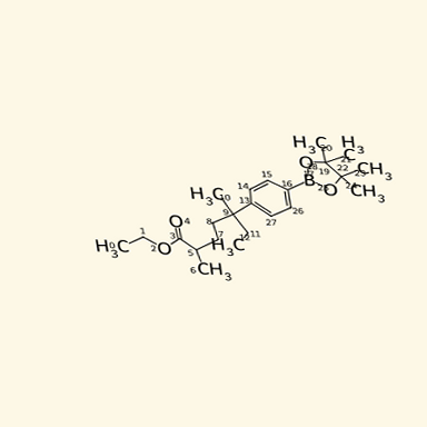 CCOC(=O)C(C)CCC(C)(CC)c1ccc(B2OC(C)(C)C(C)(C)O2)cc1